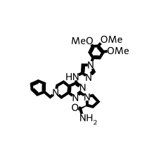 COc1cc(-n2cnc(Nc3nc(N4CCC[C@H]4C(N)=O)nc4c3CCN(Cc3ccccc3)C4)c2)cc(OC)c1OC